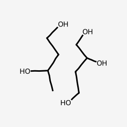 CC(O)CCO.OCCC(O)CO